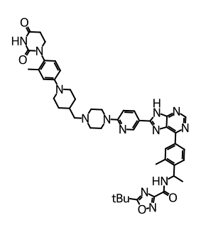 Cc1cc(-c2ncnc3[nH]c(-c4ccc(N5CCN(CC6CCN(c7ccc(N8CCC(=O)NC8=O)c(C)c7)CC6)CC5)nc4)nc23)ccc1C(C)NC(=O)c1noc(C(C)(C)C)n1